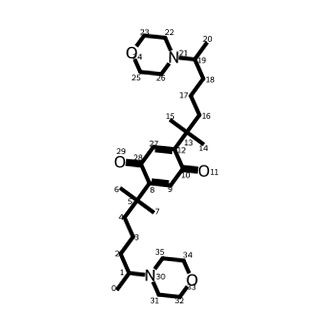 CC(CCCC(C)(C)C1=CC(=O)C(C(C)(C)CCCC(C)N2CCOCC2)=CC1=O)N1CCOCC1